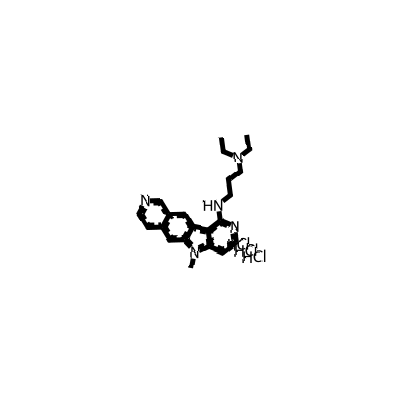 CCN(CC)CCCNc1nccc2c1c1cc3cnccc3cc1n2C.Cl.Cl.Cl